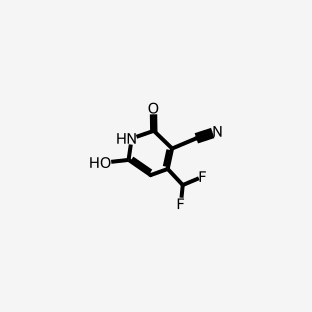 N#Cc1c(C(F)F)cc(O)[nH]c1=O